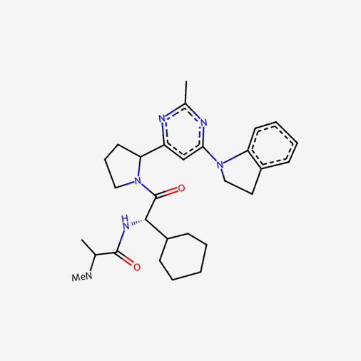 CNC(C)C(=O)N[C@H](C(=O)N1CCCC1c1cc(N2CCc3ccccc32)nc(C)n1)C1CCCCC1